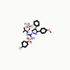 COc1ccc(C2=NN(/C(=N\[C@H](CS(N)(=O)=O)C(C)C)NS(=O)(=O)c3ccc(Cl)cc3)C[C@H]2c2ccccc2)cc1